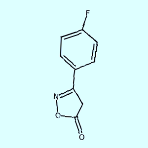 O=C1CC(c2ccc(F)cc2)=NO1